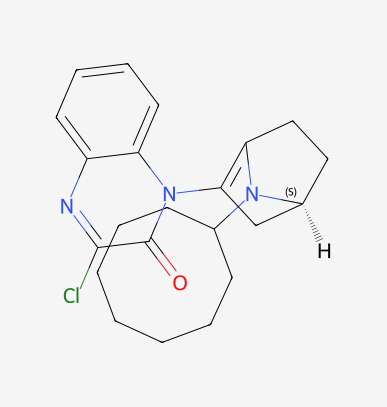 O=c1c(Cl)nc2ccccc2n1C1=C2CC[C@@H](C1)N2C1CCCCCCC1